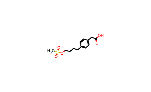 CS(=O)(=O)OCCCCc1ccc(CC(=O)O)cc1